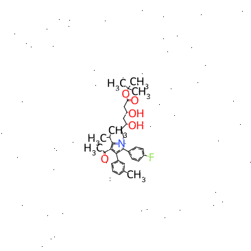 CC(=O)c1c(-c2cccc(C)c2)c(-c2ccc(F)cc2)n(CCC(O)CC(O)CC(=O)OC(C)(C)C)c1C(C)C